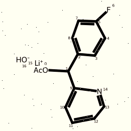 CC(=O)OC(c1ccc(F)cc1)c1ccccn1.[Li+].[OH-]